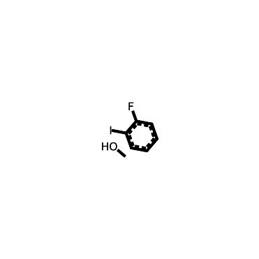 CO.Fc1ccccc1I